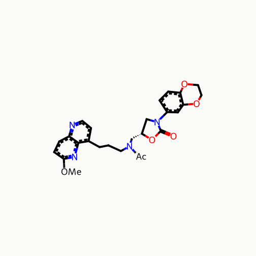 COc1ccc2nccc(CCCN(C[C@@H]3CN(c4ccc5c(c4)OCCO5)C(=O)O3)C(C)=O)c2n1